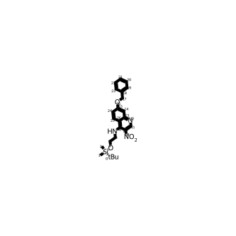 CC(C)(C)[Si](C)(C)OCCNc1c([N+](=O)[O-])cnc2cc(OCc3ccccc3)ccc12